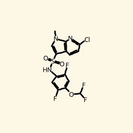 Cn1cc(S(=O)(=O)Nc2cc(F)c(OC(F)F)cc2F)c2ccc(Cl)nc21